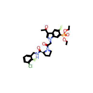 CCOP(=O)(OCC)c1cc2c(cc1F)c(C(C)=O)cn2CC(=O)N1CCC[C@H]1C(=O)NCc1cccc(Cl)c1F